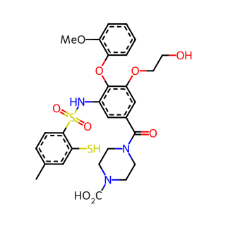 COc1ccccc1Oc1c(NS(=O)(=O)c2ccc(C)cc2S)cc(C(=O)N2CCN(C(=O)O)CC2)cc1OCCO